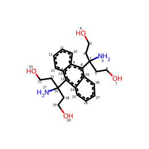 NC(CCO)(CCO)c1c2ccccc2c(C(N)(CCO)CCO)c2ccccc12